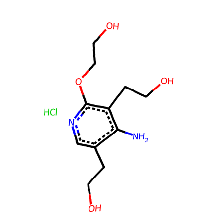 Cl.Nc1c(CCO)cnc(OCCO)c1CCO